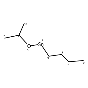 CCC[CH2][Sn][O]C(C)C